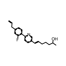 C=CCc1ccc(-c2ccc(/C=C/CCCC(C)O)cn2)c(F)c1